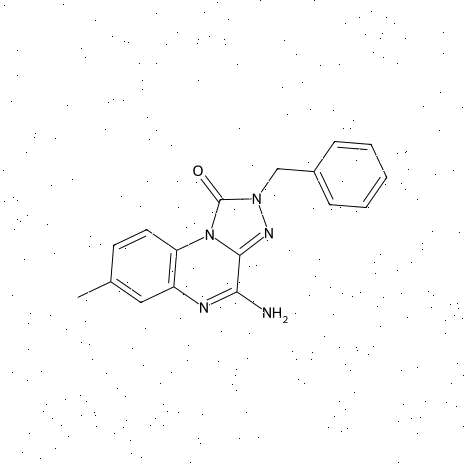 Cc1ccc2c(c1)nc(N)c1nn(Cc3ccccc3)c(=O)n12